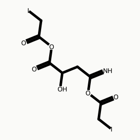 N=C(CC(O)C(=O)OC(=O)CI)OC(=O)CI